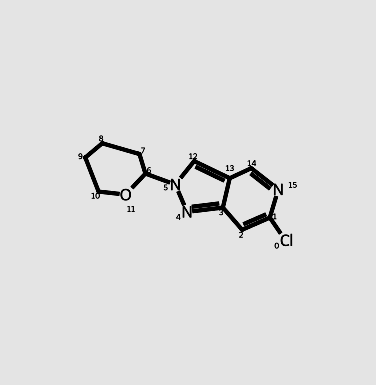 Clc1cc2nn(C3CCCCO3)cc2cn1